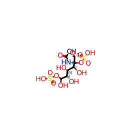 CC(=O)N[C@](C=O)(OS(=O)(=O)O)[C@@H](O)[C@H](O)[C@H](O)C(O)OS(=O)(=O)O